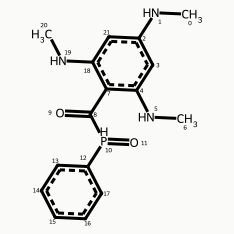 CNc1cc(NC)c(C(=O)[PH](=O)c2ccccc2)c(NC)c1